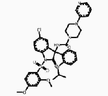 COc1ccc(S(=O)(=O)N2C(=O)C(NC(=O)N3CCN(c4cccnc4)CC3)(c3ccccc3OC(C)C)c3cc(Cl)ccc32)c(OC)c1